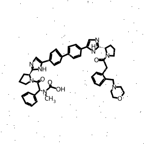 CN(C(=O)O)[C@@H](C(=O)N1CCC[C@H]1c1ncc(-c2ccc(-c3ccc(-c4cnc([C@@H]5CCCN5C(=O)Cc5ccccc5CN5CCOCC5)[nH]4)cc3)cc2)[nH]1)c1ccccc1